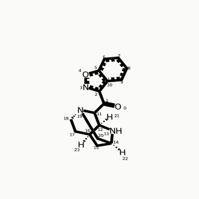 O=C(c1noc2ccccc12)C1[C@H]2N[C@H]3C[C@H]2CC[N@@]1C3